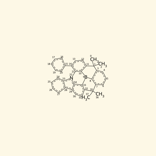 CC1(C)c2cccc3c2B2c4c1ccc(-c1ccccc1)c4-n1c4ccccc4c4ccc(c2c41)C3(C)C